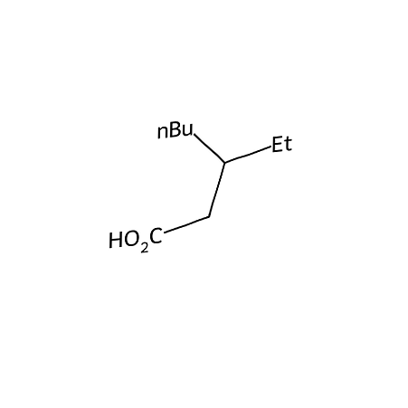 [CH2]CC(CCCC)CC(=O)O